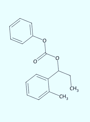 CCC(OC(=O)Oc1ccccc1)c1ccccc1C